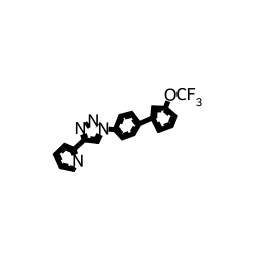 FC(F)(F)Oc1cccc(-c2ccc(-n3cc(-c4ccccn4)nn3)cc2)c1